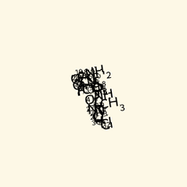 Cc1c(C(=O)Nc2ccc(F)c([C@@]3(C)N=C(N)C4(CCC4)S(=O)(=O)[C@@H]3F)c2)nc2ccc(Cl)cn12